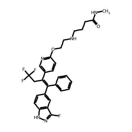 CNC(=O)CCCNCCOc1ccc(/C(CC(F)(F)F)=C(\c2ccccc2)c2ccc3[nH]nc(F)c3c2)cn1